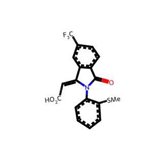 CSc1ccccc1N1C(=O)c2ccc(C(F)(F)F)cc2C1=CC(=O)O